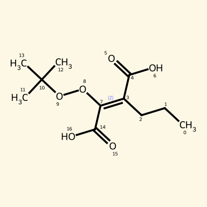 CCC/C(C(=O)O)=C(/OOC(C)(C)C)C(=O)O